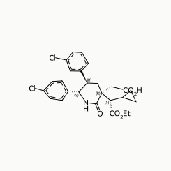 CCOC(=O)[C@@H](C1CC1)[C@]1(CC(=O)O)C[C@H](c2cccc(Cl)c2)[C@@H](c2ccc(Cl)cc2)NC1=O